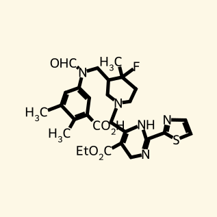 CCOC(=O)C1=C(CN2CCC(C)(F)C(CN(C=O)c3cc(C)c(C)c(C(=O)O)c3)C2)NC(c2nccs2)=NC1